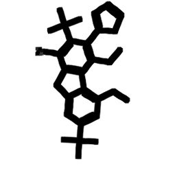 CCc1cc(C(C)(C)C)cc2c1-c1c([c]([Zr])c(C(C)(C)C)c(C3=CC=CC3)c1CC)C2